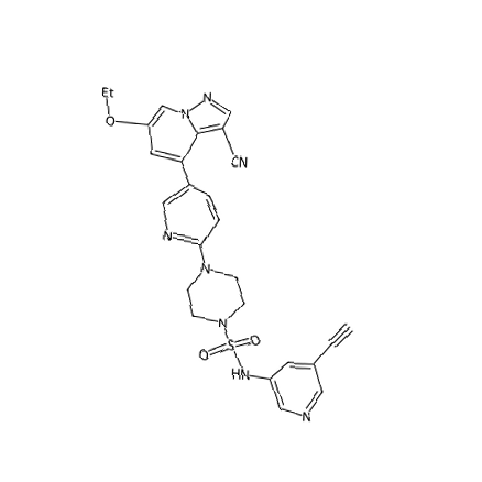 C#Cc1cncc(NS(=O)(=O)N2CCN(c3ccc(-c4cc(OCC)cn5ncc(C#N)c45)cn3)CC2)c1